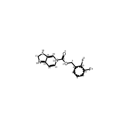 O=C(OCc1cccc(F)c1F)N1C=CC2=NCSC2=C1